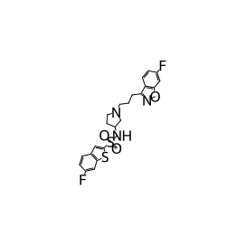 O=S(=O)(NC1CCN(CCCc2noc3cc(F)ccc23)C1)c1cc2ccc(F)cc2s1